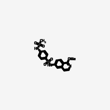 COc1nccc2cc(NS(=O)(=O)c3ccc(NS(C)(=O)=O)cc3)ccc12